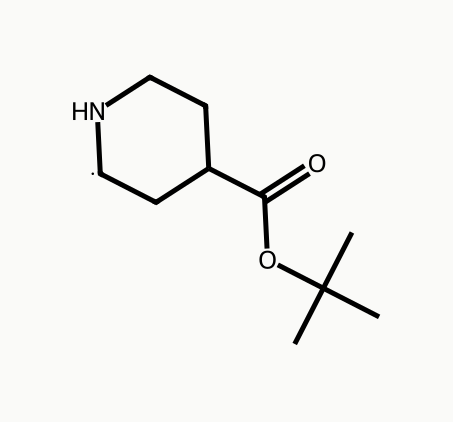 CC(C)(C)OC(=O)C1C[CH]NCC1